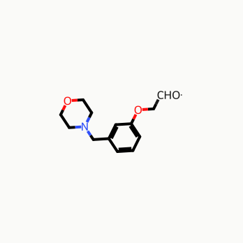 O=[C]COc1cccc(CN2CCOCC2)c1